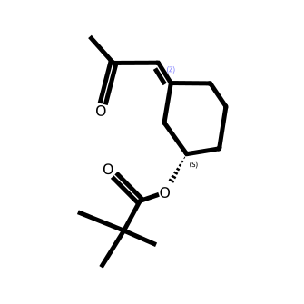 CC(=O)/C=C1/CCC[C@H](OC(=O)C(C)(C)C)C1